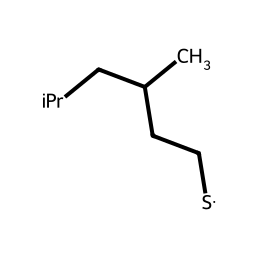 CC(C)CC(C)CC[S]